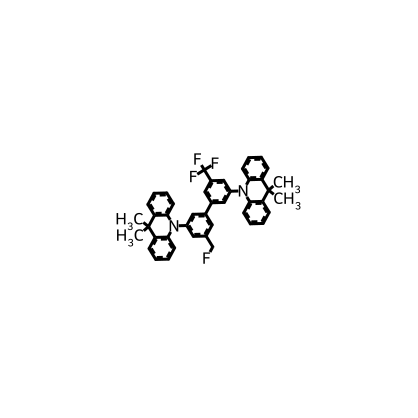 CC1(C)c2ccccc2N(c2cc(CF)cc(-c3cc(N4c5ccccc5C(C)(C)c5ccccc54)cc(C(F)(F)F)c3)c2)c2ccccc21